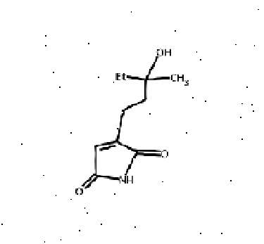 CCC(C)(O)CCC1=CC(=O)NC1=O